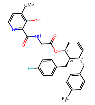 C=C[C@H](Cc1ccc(C(F)(F)F)cc1)[C@@H](Cc1ccc(F)cc1)[C@H](C)OC(=O)CNC(=O)c1nccc(OC)c1O